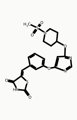 CS(=O)(=O)N1CCC(Oc2cc(Oc3cccc(/C=C4\SC(=O)NC4=O)c3)ncn2)CC1